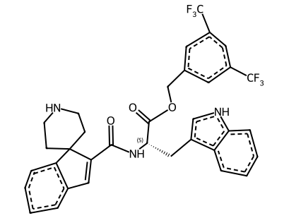 O=C(N[C@@H](Cc1c[nH]c2ccccc12)C(=O)OCc1cc(C(F)(F)F)cc(C(F)(F)F)c1)C1=Cc2ccccc2C12CCNCC2